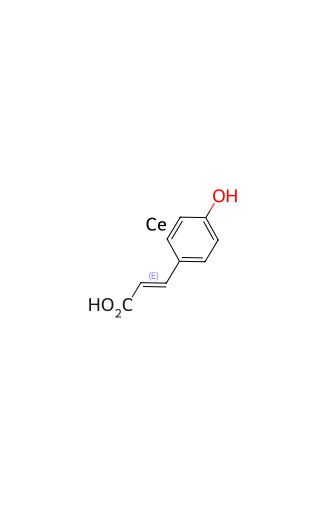 O=C(O)/C=C/c1ccc(O)cc1.[Ce]